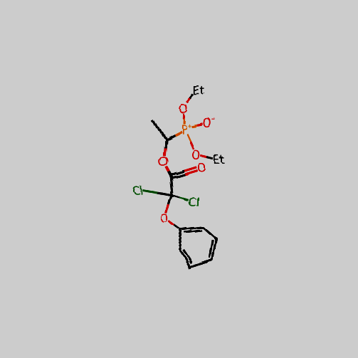 CCO[P+]([O-])(OCC)C(C)OC(=O)C(Cl)(Cl)Oc1ccccc1